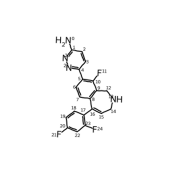 Nc1ccc(-c2ccc3c(c2F)CNCC=C3c2ccc(F)cc2F)nn1